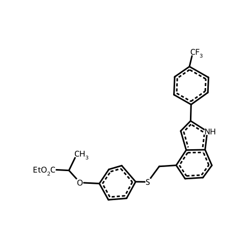 CCOC(=O)C(C)Oc1ccc(SCc2cccc3[nH]c(-c4ccc(C(F)(F)F)cc4)cc23)cc1